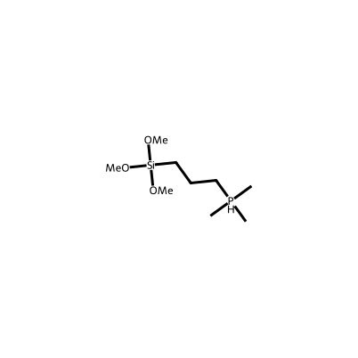 CO[Si](CCC[PH](C)(C)C)(OC)OC